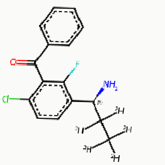 [2H]C([2H])([2H])C([2H])([2H])[C@H](N)c1ccc(Cl)c(C(=O)c2ccccc2)c1F